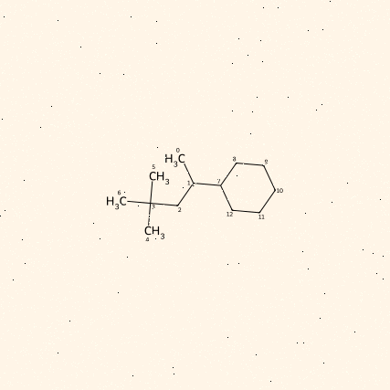 C[C](CC(C)(C)C)C1CCCCC1